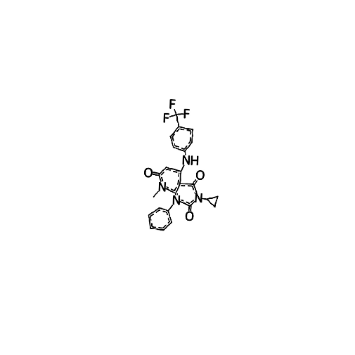 Cn1c(=O)cc(Nc2ccc(C(F)(F)F)cc2)c2c(=O)n(C3CC3)c(=O)n(-c3ccccc3)c21